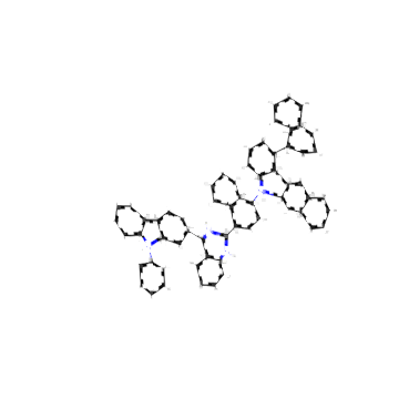 c1ccc(-n2c3ccccc3c3ccc(-c4nc(-c5ccc(-n6c7cc8ccccc8cc7c7c(-c8cccc9ccccc89)cccc76)c6ccccc56)nc5ccccc45)cc32)cc1